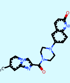 Cc1ccn2cc(C(=O)N3CCN(c4ccc5[nH]c(=O)ccc5c4)CC3)nc2c1